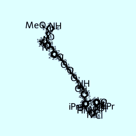 COC[C@H]1CN[C@H](C)CN1CC(=O)N1CC(C)(C)c2ncc(Cc3cccc(OCCOCCOCCOCCNC(=O)CN4CCC(c5cc(OC(C)C)c(Nc6ncc(Cl)c(Nc7ccccc7S(=O)(=O)C(C)C)n6)cc5C)CC4)c3)cc21